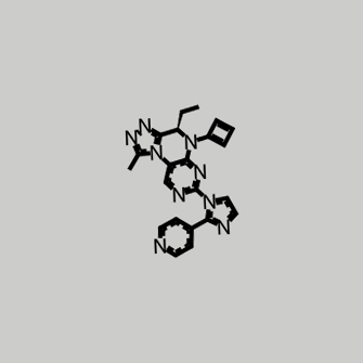 CC[C@@H]1c2nnc(C)n2-c2cnc(-n3ccnc3-c3ccncc3)nc2N1C1=CC=C1